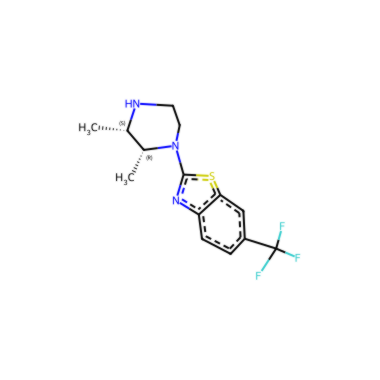 C[C@@H]1NCCN(c2nc3ccc(C(F)(F)F)cc3s2)[C@@H]1C